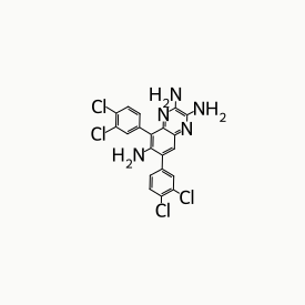 Nc1nc2cc(-c3ccc(Cl)c(Cl)c3)c(N)c(-c3ccc(Cl)c(Cl)c3)c2nc1N